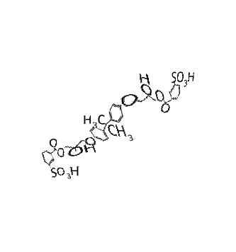 CC(C)(c1ccc(OCC(O)COC(=O)c2cccc(S(=O)(=O)O)c2)cc1)c1ccc(OCC(O)COC(=O)c2cccc(S(=O)(=O)O)c2)cc1